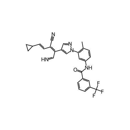 Cc1ccc(NC(=O)c2cccc(C(F)(F)F)c2)cc1-n1cc(/C(C=N)=C(C#N)/C=C/C2CC2)cn1